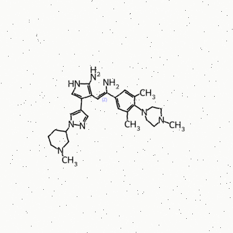 Cc1cc(/C(N)=C/c2c(-c3cnn(C4CCCN(C)C4)c3)c[nH]c2N)cc(C)c1N1CCN(C)CC1